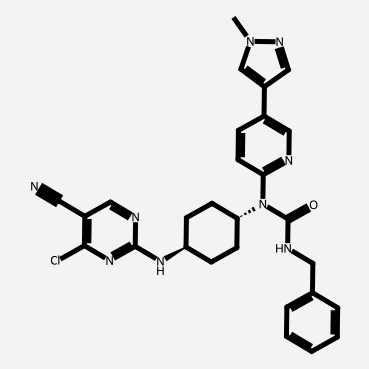 Cn1cc(-c2ccc(N(C(=O)NCc3ccccc3)[C@H]3CC[C@H](Nc4ncc(C#N)c(Cl)n4)CC3)nc2)cn1